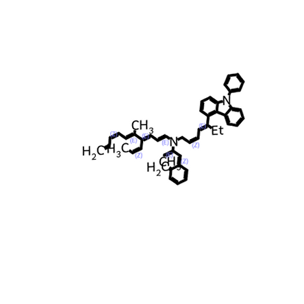 C=C/C=C\C=C(/C)C(=C/C=C/N(C/C=C\C=C(/CC)c1cccc2c1c1ccccc1n2-c1ccccc1)C(/C=c1/ccccc1=C)=C/C)/C=C\C